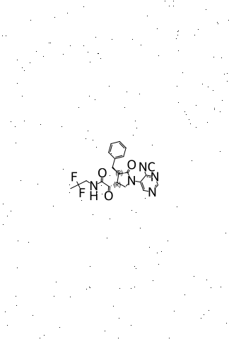 CC(F)(F)CNC(=O)C(=O)[C@H]1CN(c2cncnc2C#N)C(=O)[C@@H]1Cc1ccccc1